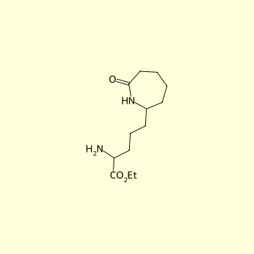 CCOC(=O)C(N)CCCC1CCCCC(=O)N1